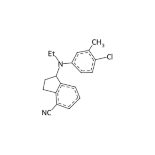 CCN(c1ccc(Cl)c(C)c1)C1CCc2c(C#N)cccc21